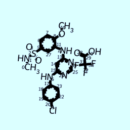 CNS(=O)(=O)c1ccc(OC)c(Nc2cc(Nc3ccc(Cl)cc3)ncn2)c1.O=C(O)C(F)(F)F